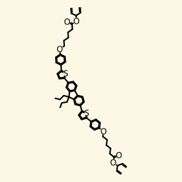 C=CC(C=C)OC(=O)CCCCCOc1ccc(-c2ccc(-c3ccc4c(c3)C(CCC)(CCC)c3cc(-c5ccc(-c6ccc(OCCCCCC(=O)OC(C=C)C=C)cc6)s5)ccc3-4)s2)cc1